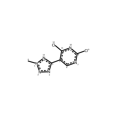 Cn1nnc(-c2cnc(Cl)nc2Cl)n1